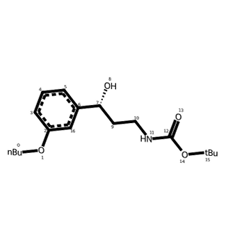 CCCCOc1cccc([C@H](O)CCNC(=O)OC(C)(C)C)c1